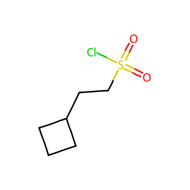 O=S(=O)(Cl)CCC1CCC1